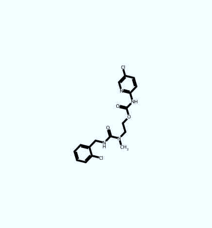 CN(CCOC(=O)Nc1ccc(Cl)cn1)C(=O)NCc1ccccc1Cl